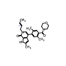 C/C=C/Cn1cc(-c2cc(C)c(C(=O)N3CCOCC3)cc2C)c2cc(C)[nH]c2c1=O